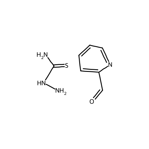 NNC(N)=S.O=Cc1ccccn1